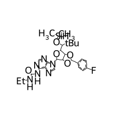 CCNC(=O)Nc1ncnc2c1ncn2C1OC(C(O[SiH](C)C)C(C)(C)C)C2OC(c3ccc(F)cc3)OC21